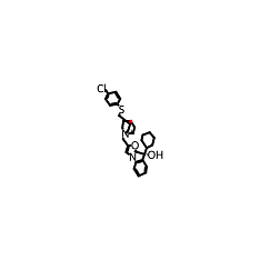 O[C@](c1ccccc1)(c1ncc(C[N+]23CCC(CC2)C(CSc2ccc(Cl)cc2)C3)o1)C1CCCCC1